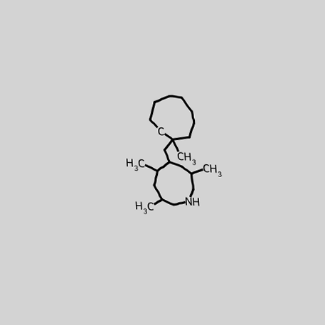 CC1CNCC(C)CC(CC2(C)CCCCCCCC2)C(C)C1